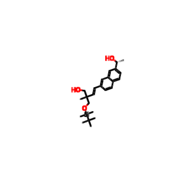 C[C@@H](O)c1ccc2ccc(/C=C/C(C)(CO)CO[Si](C)(C)C(C)(C)C)cc2c1